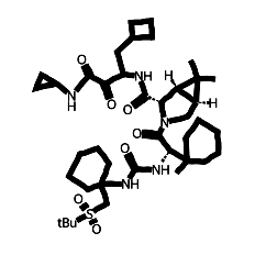 CC1([C@H](NC(=O)NC2(CS(=O)(=O)C(C)(C)C)CCCCC2)C(=O)N2C[C@H]3[C@@H]([C@H]2C(=O)NC(CC2CCC2)C(=O)C(=O)NC2CC2)C3(C)C)CCCCC1